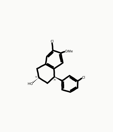 COc1cc2c(cc1Cl)C[C@@H](O)C[C@@H]2c1cccc(Cl)c1